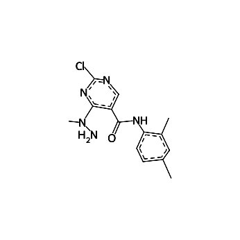 Cc1ccc(NC(=O)c2cnc(Cl)nc2N(C)N)c(C)c1